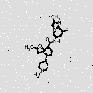 Cc1cn2cc(NC(=O)c3ccc(C4CCN(C)CC4)c4cc(C)oc34)cc(F)c2n1